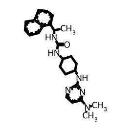 CC(NC(=O)NC1CCC(Nc2nccc(N(C)C)n2)CC1)c1cccc2ccccc12